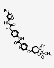 CC(C)[N+]1(OS(C)(=O)=O)CCC(Oc2ccc(C(=O)Nc3ccc(NC(=O)Nc4cc(C(C)(C)C)no4)cc3)nc2)CC1